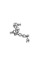 Cc1c(Nc2cc[nH]c(=O)c2C(=O)Nc2ccc(N3CCN(C(=O)C4CC(F)(F)C4)CC3)cc2)cnc2c1NCCO2